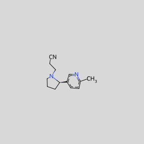 Cc1ccc([C@H]2CCCN2CCC#N)cn1